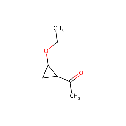 CCOC1CC1C(C)=O